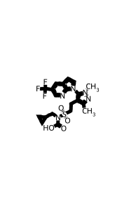 Cc1nn(C)c(-n2ccc3cc(C(F)(F)F)cnc32)c1CCS(=O)(=O)N(CC1CC1)C(=O)O